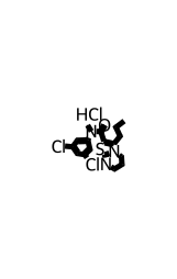 CCCC1=C(C(=O)N(C)c2cc(Cl)cc(Cl)c2)SC2=NCCCN21.Cl